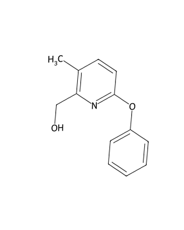 Cc1ccc(Oc2ccccc2)nc1CO